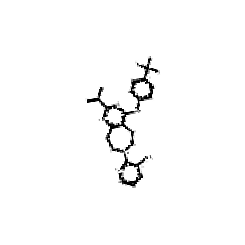 CC(C)c1nc2c(c(Nc3ccc(C(C)(C)C)cc3)n1)CCN(c1ncccc1N)CC2